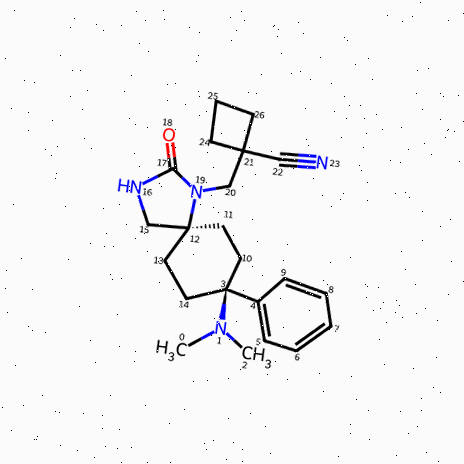 CN(C)[C@]1(c2ccccc2)CC[C@]2(CC1)CNC(=O)N2CC1(C#N)CCC1